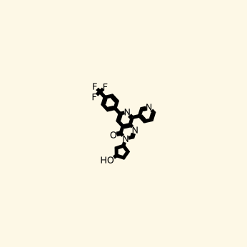 O=c1c2cc(-c3ccc(C(F)(F)F)cc3)nc(-c3cccnc3)c2ncn1C1CCC(O)C1